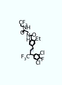 CCc1cc(/C=C/C(c2cc(Cl)c(F)c(Cl)c2)C(F)(F)F)ccc1C(=O)NCC(=O)NCC(F)(F)F